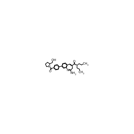 CCCN(CCC)C(=O)C1=Cc2ccc(-c3ccc(C(=O)N4CCCC4CO)cc3)cc2N=C(N)C1